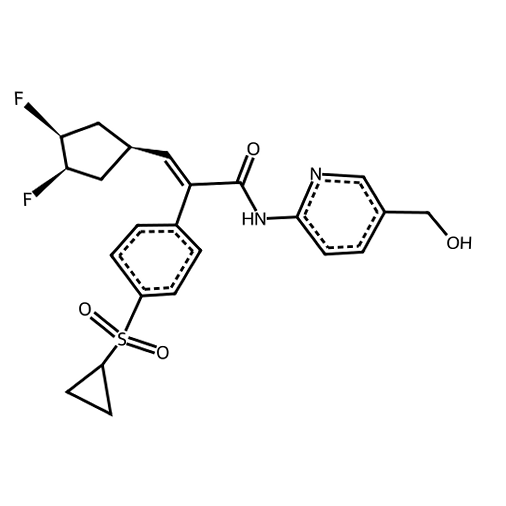 O=C(Nc1ccc(CO)cn1)/C(=C/[C@H]1C[C@@H](F)[C@@H](F)C1)c1ccc(S(=O)(=O)C2CC2)cc1